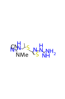 CN/C(=N/C#N)NCC(C)SCc1csc(NC(=N)N)n1